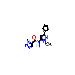 Cn1nncc1C(=O)Nc1cc([C@H]2C[CH]CC2)nn1C(C)(C)C